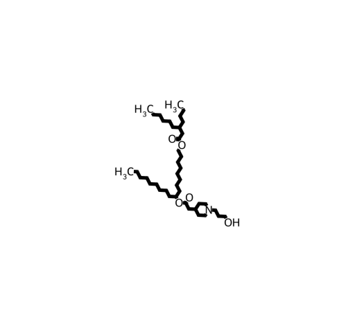 CCCCCCCCCC(CCCCCCCCOC(=O)CC(CCCC)CCCCCC)OC(=O)CC1CCN(CCCO)CC1